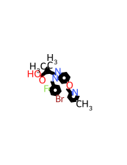 Cc1ccc(COc2ccc3nc(C4C(C(=O)O)C4(C)C)n(Cc4ccc(Br)cc4F)c3c2)nc1